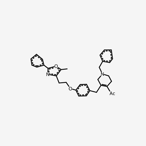 CC(=O)C1=C(Cc2ccc(OCCc3nc(-c4ccccc4)oc3C)cc2)CN(Cc2ccccc2)CC1